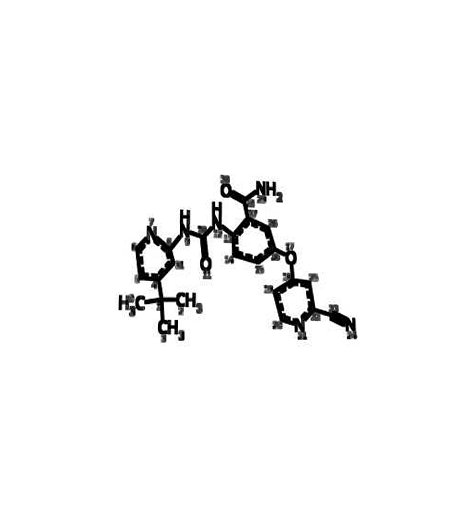 CC(C)(C)c1ccnc(NC(=O)Nc2ccc(Oc3ccnc(C#N)c3)cc2C(N)=O)c1